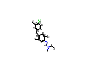 CCN(C)C=Nc1cc(C)c(Cc2ccc(Cl)c(C)c2)cc1C